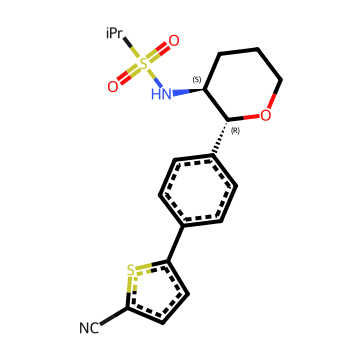 CC(C)S(=O)(=O)N[C@H]1CCCO[C@@H]1c1ccc(-c2ccc(C#N)s2)cc1